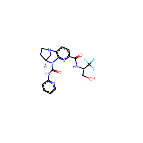 O=C(N[C@H](CO)C(F)(F)F)c1ccc2c(n1)N(C(=O)Nc1ccccn1)[C@H]1CCN2C1